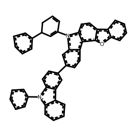 C1=CC(n2c3cc(-c4ccc5c(c4)c4ccccc4n5-c4ccccc4)ccc3c3c4oc5ccccc5c4ccc32)=CC(c2ccccc2)C1